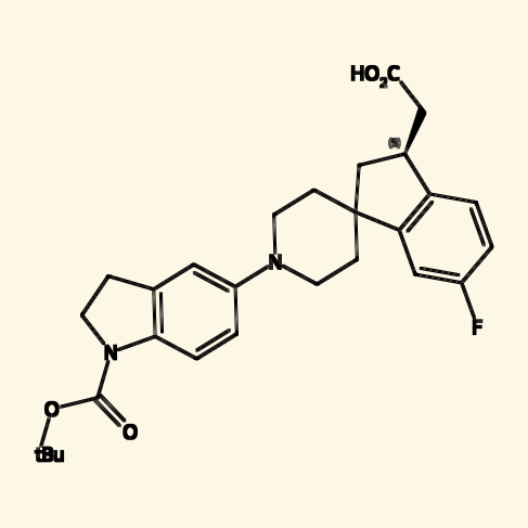 CC(C)(C)OC(=O)N1CCc2cc(N3CCC4(CC3)C[C@@H](CC(=O)O)c3ccc(F)cc34)ccc21